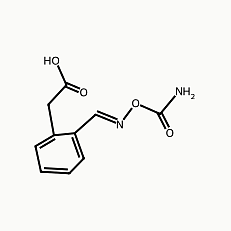 NC(=O)ON=Cc1ccccc1CC(=O)O